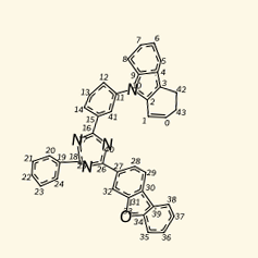 C1=Cc2c(c3ccccc3n2-c2cccc(-c3nc(-c4ccccc4)nc(-c4ccc5c(c4)oc4ccccc45)n3)c2)CC1